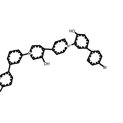 Oc1c[n+](-c2cccc(-c3ccc(Br)cc3)c2)ccc1-c1cc[n+](-c2cc(-c3ccc(Br)cc3)ccc2O)cc1